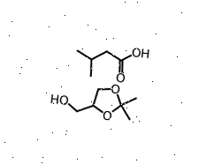 CC(C)CC(=O)O.CC1(C)OCC(CO)O1